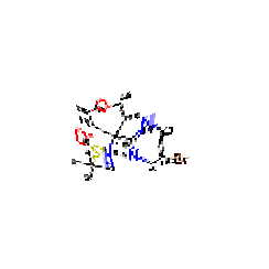 CC(C)(C)[S+]([O-])NC1(c2ncc(Br)cn2)CCOCC1